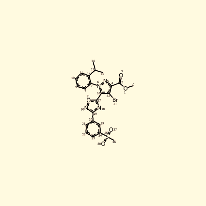 COC(=O)c1nn(-c2ccccc2C(C)C)c(-c2nc(-c3cccc(S(C)(=O)=O)c3)no2)c1Br